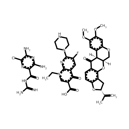 C=C(C)[C@H]1Cc2c(ccc3c2O[C@@H]2COc4cc(OC)c(OC)cc4[C@@H]2C3=O)O1.CCn1cc(C(=O)O)c(=O)c2cc(F)c(N3CCNCC3)nc21.N=C(N)NC(=O)c1nc(Cl)c(N)nc1N